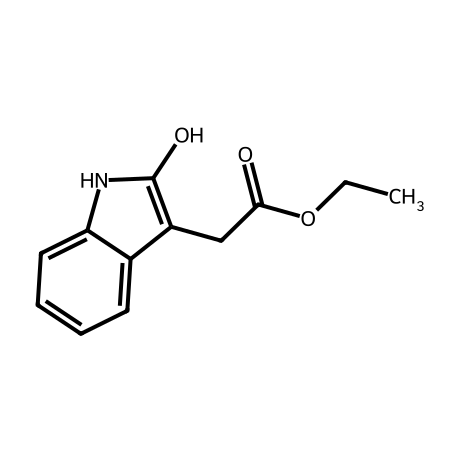 CCOC(=O)Cc1c(O)[nH]c2ccccc12